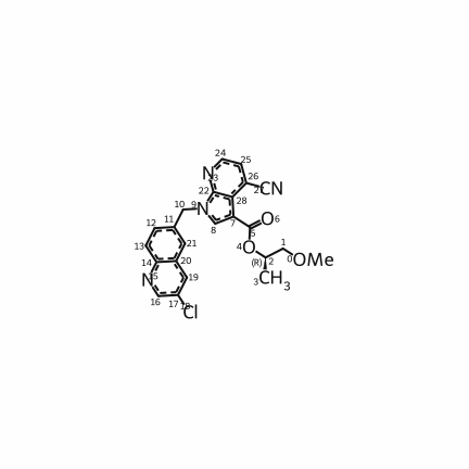 COC[C@@H](C)OC(=O)c1cn(Cc2ccc3ncc(Cl)cc3c2)c2nccc(C#N)c12